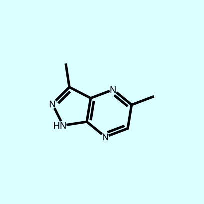 Cc1cnc2[nH]nc(C)c2n1